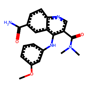 COc1cccc(Nc2c(C(=O)N(C)C)cnc3ccc(C(N)=O)cc23)c1